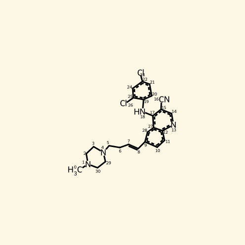 CN1CCN(CCC=Cc2ccc3ncc(C#N)c(Nc4ccc(Cl)cc4Cl)c3c2)CC1